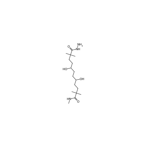 CNC(=O)C(C)(C)CCC(O)CCC(O)CCC(C)(C)C(=O)NN